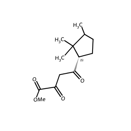 COC(=O)C(=O)CC(=O)[C@H]1CCC(C)C1(C)C